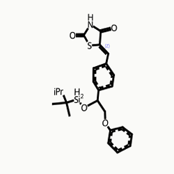 CC(C)C(C)(C)[SiH2]OC(COc1ccccc1)c1ccc(/C=C2\SC(=O)NC2=O)cc1